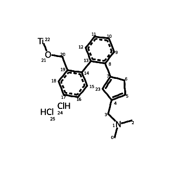 CN(C)CC1=CCC(c2ccccc2-c2ccccc2C[O][Ti])=C1.Cl.Cl